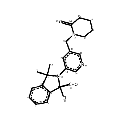 CC1(C)c2ccccc2C(Cl)(C=O)N1c1cncc(CN2CCCCC2=O)c1